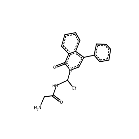 CCC(NC(=O)CN)n1cc(-c2ccccc2)c2ccccc2c1=O